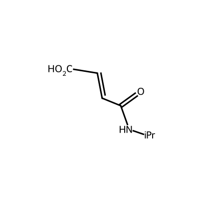 CC(C)NC(=O)C=CC(=O)O